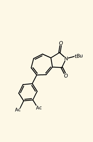 CC(=O)c1ccc(C2=CC=CC3C(=O)N(C(C)(C)C)C(=O)C3=C2)cc1C(C)=O